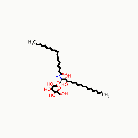 CCCC/C=C/C=C/C=C\CCCCCCCC(=O)N[C@@H](COC1OC(CO)C(O)C(O)C1O)[C@H](O)[C@H](O)CCCCCCCCCCCCCC